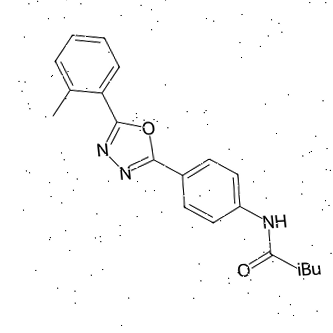 CCC(C)C(=O)Nc1ccc(-c2nnc(-c3ccccc3C)o2)cc1